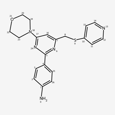 Nc1ccc(-c2nc(CSc3ccncc3)cc(N3CCOCC3)n2)cc1